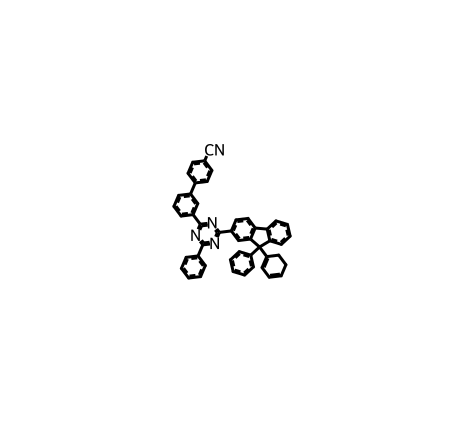 N#Cc1ccc(-c2cccc(-c3nc(-c4ccccc4)nc(-c4ccc5c(c4)C(C4=CC=CCC4)(c4ccccc4)c4ccccc4-5)n3)c2)cc1